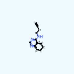 C#CCCNc1ncnc2ccccc12